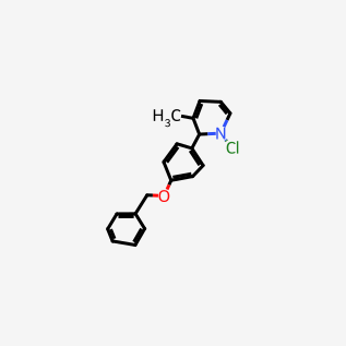 CC1=CC=CN(Cl)C1c1ccc(OCc2ccccc2)cc1